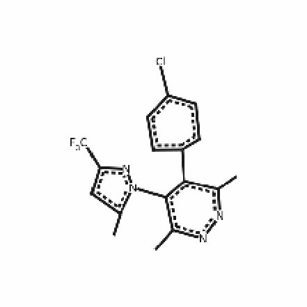 Cc1nnc(C)c(-n2nc(C(F)(F)F)cc2C)c1-c1ccc(Cl)cc1